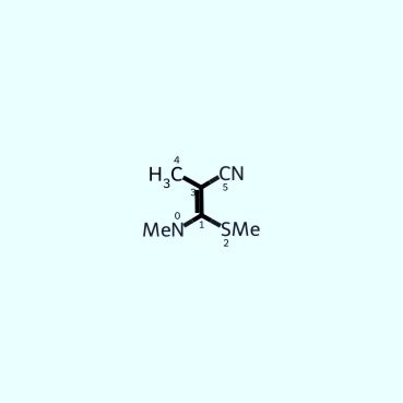 CN/C(SC)=C(\C)C#N